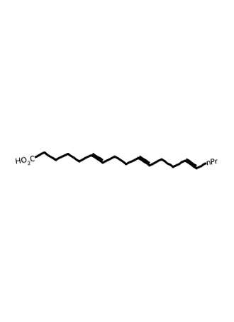 CCCC=CCCC=CCCC=CCCCCC(=O)O